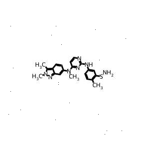 Cc1ccc(Nc2nccc(N(C)c3ccc4c(C)n(C)nc4c3)n2)cc1SN